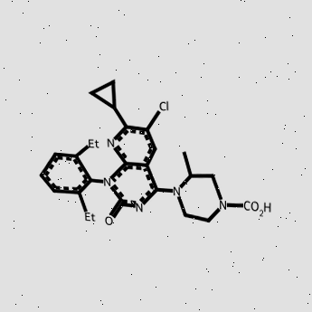 CCc1cccc(CC)c1-n1c(=O)nc(N2CCN(C(=O)O)CC2C)c2cc(Cl)c(C3CC3)nc21